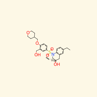 C=C[C@H]1[C@H](O)Cc2cc(CC)ccc2N1S(=O)(=O)c1ccc(OCC2CCOCC2)c(CO)c1